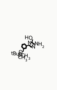 CC(C)(C)[Si](C)(C)OCc1cccc(-c2cnc(N)c(CO)n2)c1